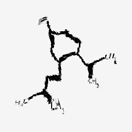 C=C(C)/C=C/c1cc(F)ccc1C(=C)C